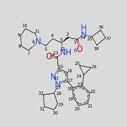 O=C(C[C@H](CCN1CCCCC1)NC(=O)c1cc(-c2ccccc2C2CC2)n(C2CCCC2)n1)NC1CCC1